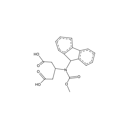 COC(=O)N(C(CC(=O)O)CC(=O)O)C1c2ccccc2-c2ccccc21